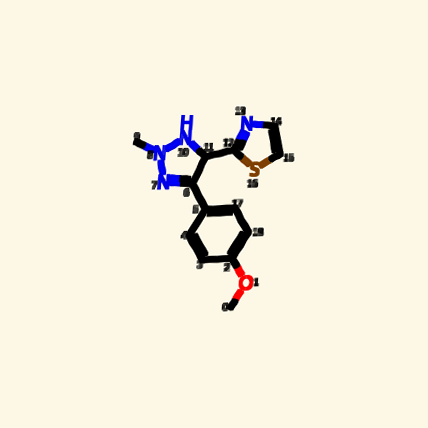 COc1ccc(C2=NN(C)NC2c2nccs2)cc1